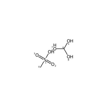 CS(=O)(=O)O.OC(O)O